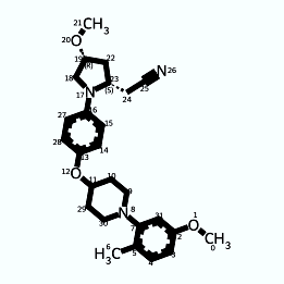 COc1ccc(C)c(N2CCC(Oc3ccc(N4C[C@H](OC)C[C@@H]4CC#N)cc3)CC2)c1